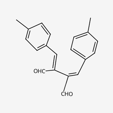 Cc1ccc(C=C(C=O)C(C=O)=Cc2ccc(C)cc2)cc1